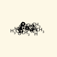 CNc1nc(C)nc2c1ncn2[C@@H]1O[C@H](COP(=S)(N[C@@H](C)C(=O)OC)Oc2ccccc2)[C@@H](O)[C@@]1(C)F